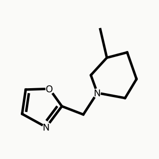 CC1CCCN(Cc2ncco2)C1